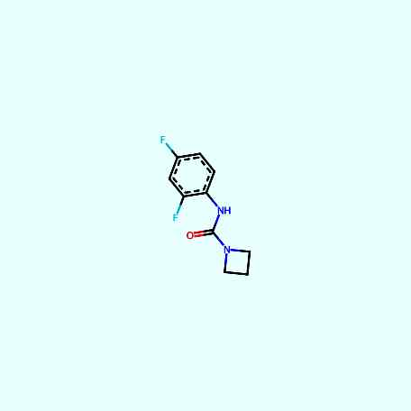 O=C(Nc1ccc(F)cc1F)N1CCC1